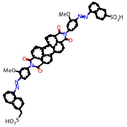 COc1cc(N2C(=O)c3ccc4c5ccc6c7c(ccc(c8ccc(c3c48)C2=O)c75)C(=O)N(c2ccc(N=Nc3cccc4cc(S(=O)(=O)O)ccc34)c(OC)c2)C6=O)ccc1N=Nc1cccc2cc(CS(=O)(=O)O)ccc12